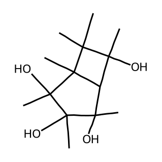 CC1(O)C2C(C)(O)C(C)(O)C(C)(O)C2(C)C1(C)C